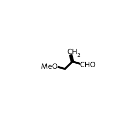 C=C(C=O)COC